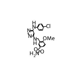 COc1ccc(S(N)(=O)=O)cc1CNc1cc(Nc2ccc(Cl)cc2)ncn1